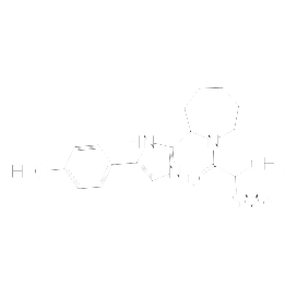 CSC(C)C(=O)N1CCCCCC1c1ncc(-c2ccc(C)cc2)[nH]1